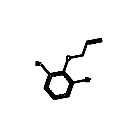 C=CCOc1c(Br)cccc1Br